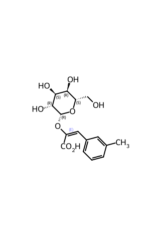 Cc1cccc(/C=C(/O[C@H]2O[C@@H](CO)[C@H](O)[C@H](O)[C@H]2O)C(=O)O)c1